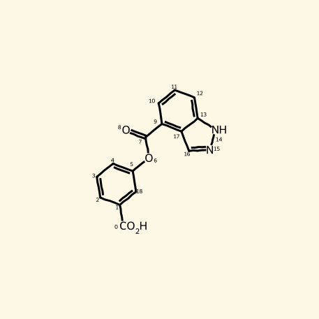 O=C(O)c1cccc(OC(=O)c2cccc3[nH]ncc23)c1